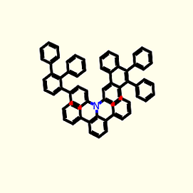 c1ccc(-c2cccc(-c3ccc(N(c4ccc5c(-c6ccccc6)c(-c6ccccc6)c6ccccc6c5c4)c4c(-c5ccccc5)cccc4-c4ccccc4)cc3)c2-c2ccccc2)cc1